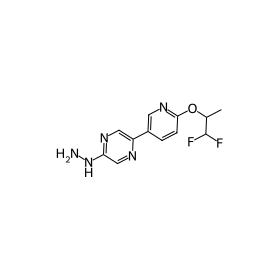 CC(Oc1ccc(-c2cnc(NN)cn2)cn1)C(F)F